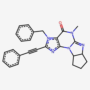 CN1C(=O)c2c(nc(C#Cc3ccccc3)n2Cc2ccccc2)N2C1=NC1CCCC12